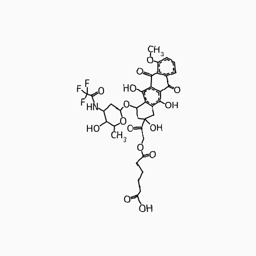 COc1cccc2c1C(=O)c1c(O)c3c(c(O)c1C2=O)CC(O)(C(=O)COC(=O)CCCCC(=O)O)CC3OC1CC(NC(=O)C(F)(F)F)C(O)C(C)O1